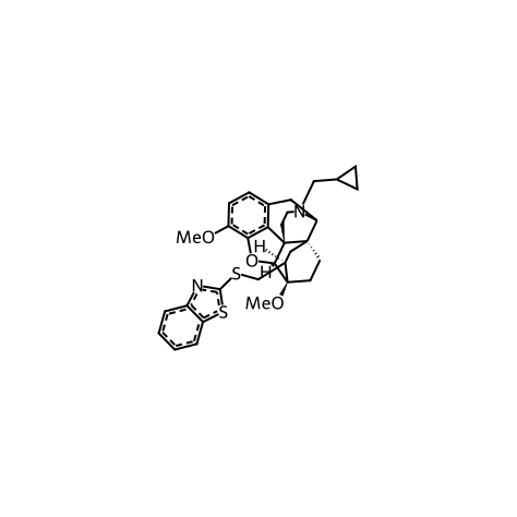 COc1ccc2c3c1O[C@H]1[C@@]4(OC)CC[C@@]5(C[C@@H]4CSc4nc6ccccc6s4)C(C2)N(CC2CC2)CC[C@]315